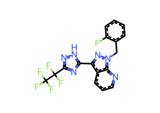 Fc1ccccc1Cn1nc(-c2nc(C(F)(F)C(F)(F)F)n[nH]2)c2cccnc21